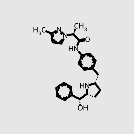 Cc1ccn([C@@H](C)C(=O)Nc2ccc(C[C@@H]3CC[C@H]([C@H](O)c4ccccc4)N3)cc2)n1